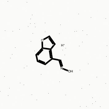 ON=Cc1cccc2occc12.[H+]